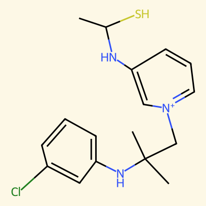 CC(S)Nc1ccc[n+](CC(C)(C)Nc2cccc(Cl)c2)c1